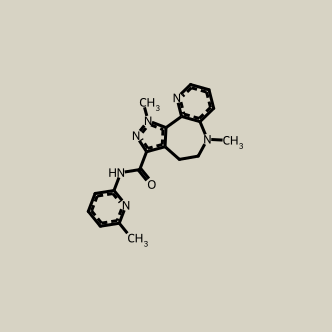 Cc1cccc(NC(=O)c2nn(C)c3c2CCN(C)c2cccnc2-3)n1